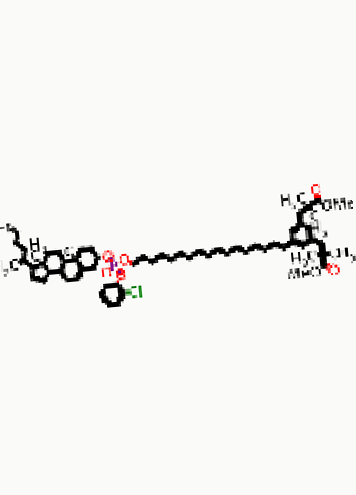 COC(=O)C(C)(C)Cc1cc(CCCCCCCCCCCCCCCCCOP(=O)(Oc2ccccc2Cl)O[C@H]2CC[C@@]3(C)C(=CCC4C5CCC(C(C)CCCC(C)C)[C@@]5(C)CCC43)C2)cc(CC(C)(C)C(=O)OC)c1